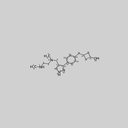 CNCCN(C)Cc1c[nH]nc1-c1ccc(CC2CC(O)C2)cc1